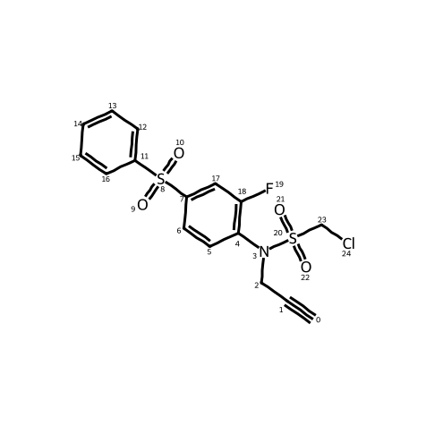 C#CCN(c1ccc(S(=O)(=O)c2ccccc2)cc1F)S(=O)(=O)CCl